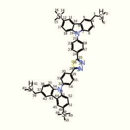 C[SiH](C)Cc1ccc2c(c1)c1cc([Si](C)(C)C)ccc1n2-c1ccc(-c2nnc(-c3ccc(-n4c5ccc(C[SiH](C)C)cc5c5cc([Si](C)(C)C)ccc54)cc3)s2)cc1